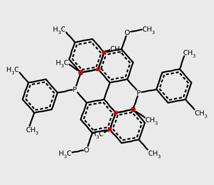 COc1cc(P(c2cc(C)cc(C)c2)c2cc(C)cc(C)c2)c(-c2c(P(c3cc(C)cc(C)c3)c3cc(C)cc(C)c3)cc(OC)nc2OC)c(OC)n1